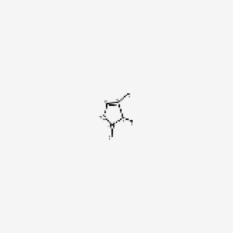 CC1=CSN(C)C1C